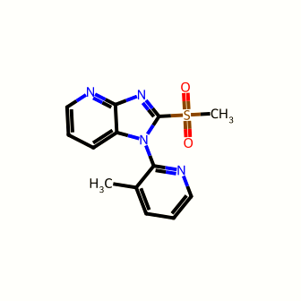 Cc1cccnc1-n1c(S(C)(=O)=O)nc2ncccc21